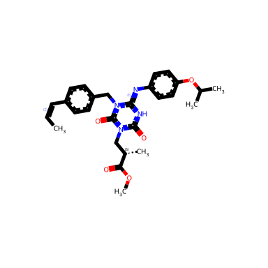 C/C=C\c1ccc(Cn2c(=O)n(C[C@H](C)C(=O)OC)c(=O)[nH]/c2=N\c2ccc(OC(C)C)cc2)cc1